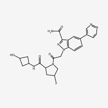 NC(=O)c1nn(CC(=O)N2CC(F)CC2C(=O)NC2CC(O)C2)c2ccc(-c3ccnnc3)cc12